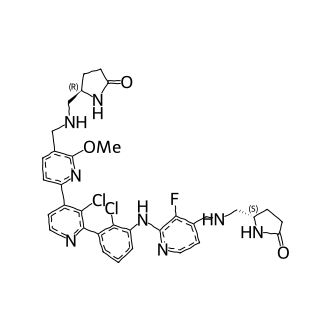 COc1nc(-c2ccnc(-c3cccc(Nc4nccc(CNC[C@@H]5CCC(=O)N5)c4F)c3Cl)c2Cl)ccc1CNC[C@H]1CCC(=O)N1